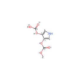 COC(=O)Oc1c[nH]cc1OC(=O)O